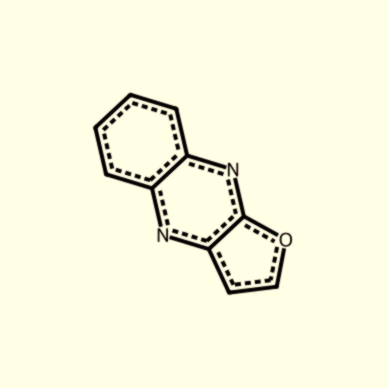 c1ccc2nc3occc3nc2c1